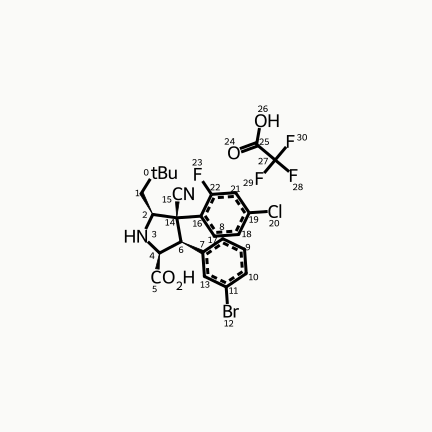 CC(C)(C)C[C@@H]1N[C@H](C(=O)O)[C@H](c2cccc(Br)c2)[C@@]1(C#N)c1ccc(Cl)cc1F.O=C(O)C(F)(F)F